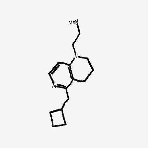 CNCCN1CCCc2c1ccnc2CC1CCC1